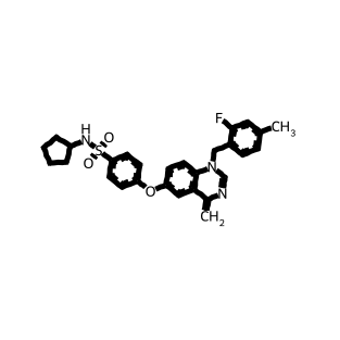 C=C1N=CN(Cc2ccc(C)cc2F)c2ccc(Oc3ccc(S(=O)(=O)NC4CCCC4)cc3)cc21